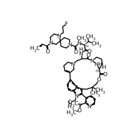 C=CC(=O)N1CCN(CCF)C2(CCN(C(=O)N(C)[C@H](C(=O)NC3CN4CCC=C(C4)c4ccc5c(c4)c(c(-c4cccnc4[C@H](C)OC)n5CC)CC(C)(C)COC(=O)[C@@H]4CCCN(N4)C3=O)C(C)C)CC2)C1